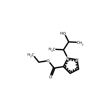 CCOC(=O)c1ccnn1C(C)C(C)O